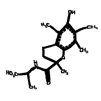 Cc1c(C)c2c(c(C)c1O)CCC(C)(C(=O)NC(C)C(=O)O)O2